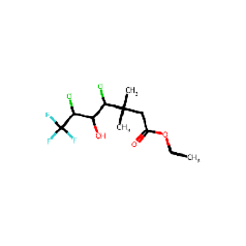 CCOC(=O)CC(C)(C)C(Cl)C(O)C(Cl)C(F)(F)F